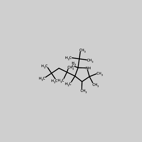 CC1C(C)(C)NC(C)(C(C)(C)C)C1(C)C(C)(C)CC(C)(C)C